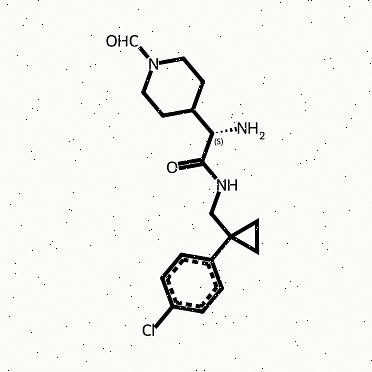 N[C@H](C(=O)NCC1(c2ccc(Cl)cc2)CC1)C1CCN(C=O)CC1